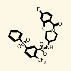 O=C(c1ccc(F)cc1Cl)N1CCC(NS(=O)(=O)c2cc(S(=O)(=O)c3ccccc3)ccc2C(F)(F)F)CC1